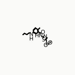 CCCCNc1ccc(C)c(C(=O)Nc2ncc([N+](=O)[O-])s2)c1